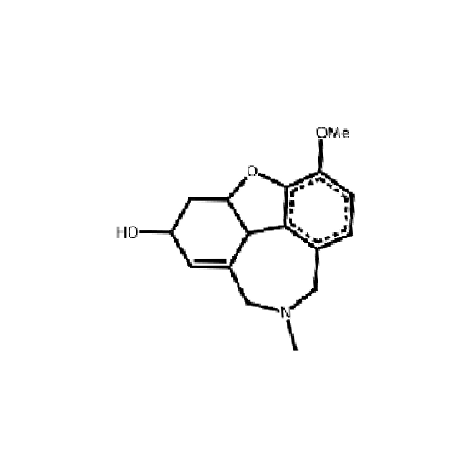 COc1ccc2c3c1OC1CC(O)C=C(CN(C)C2)C31